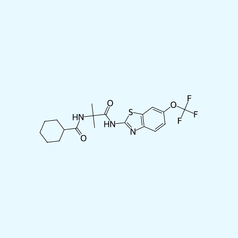 CC(C)(NC(=O)C1CCCCC1)C(=O)Nc1nc2ccc(OC(F)(F)F)cc2s1